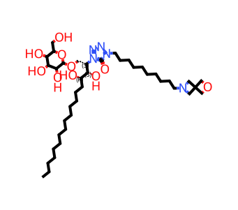 CCCCCCCCCCCCCC[C@@H](O)[C@@H](O)[C@H](COC1OC(CO)C(O)C(O)C1O)n1nnn(CCCCCCCCCCN2CC3(COC3)C2)c1=O